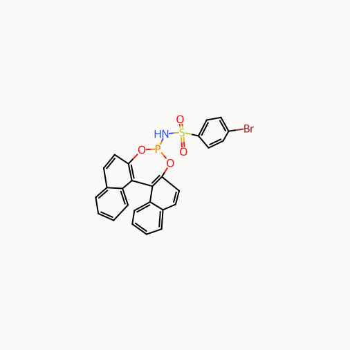 O=S(=O)(Np1oc2ccc3ccccc3c2c2c(ccc3ccccc32)o1)c1ccc(Br)cc1